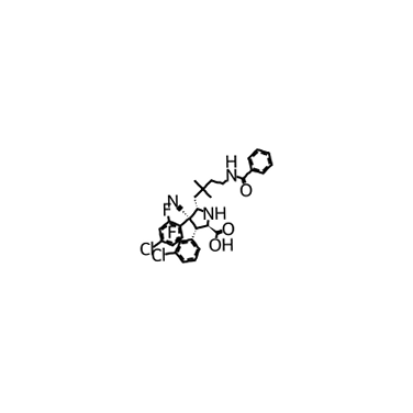 CC(C)(CCNC(=O)c1ccccc1)C[C@@H]1N[C@@H](C(=O)O)[C@H](c2cccc(Cl)c2F)[C@@]1(C#N)c1ccc(Cl)cc1F